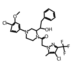 COc1cc(N2CCN(C(=O)Cn3nc(C(F)(F)F)c(Cl)c3C)C(C(O)Cc3ccccc3)C2)ccc1Cl